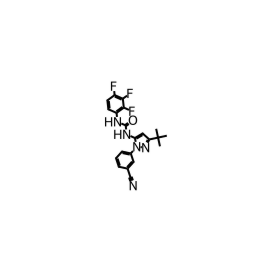 CC(C)(C)c1cc(NC(=O)Nc2ccc(F)c(F)c2F)n(-c2cccc(C#N)c2)n1